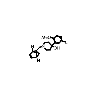 COc1ccc(Cl)cc1C1(O)CCN(C[C@H]2C[C@H]3C=C[C@H]2C3)CC1